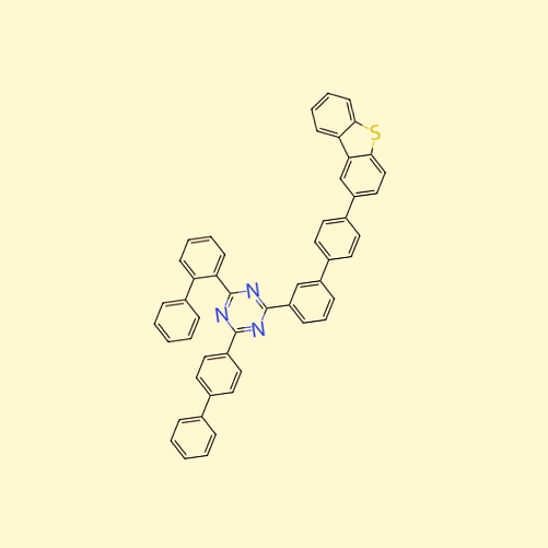 c1ccc(-c2ccc(-c3nc(-c4cccc(-c5ccc(-c6ccc7sc8ccccc8c7c6)cc5)c4)nc(-c4ccccc4-c4ccccc4)n3)cc2)cc1